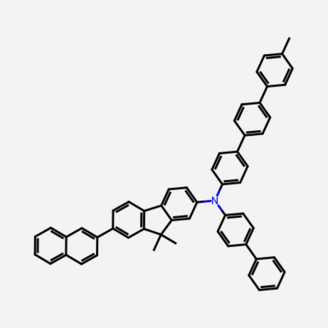 Cc1ccc(-c2ccc(-c3ccc(N(c4ccc(-c5ccccc5)cc4)c4ccc5c(c4)C(C)(C)c4cc(-c6ccc7ccccc7c6)ccc4-5)cc3)cc2)cc1